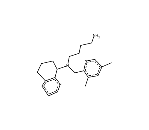 Cc1cnc(CN(CCCCN)C2CCCc3cccnc32)c(C)c1